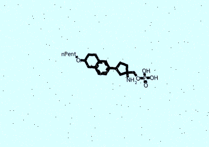 CCCCCOC1CCc2cc(C3CCC(N)(COP(=O)(O)O)C3)ccc2C1